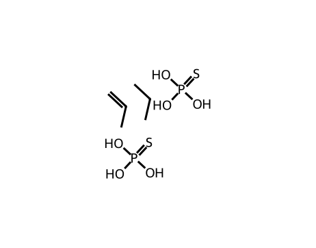 C=CC.CCC.OP(O)(O)=S.OP(O)(O)=S